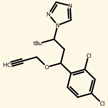 C#CCOC(CC(n1cncn1)C(C)(C)C)c1ccc(Cl)cc1Cl